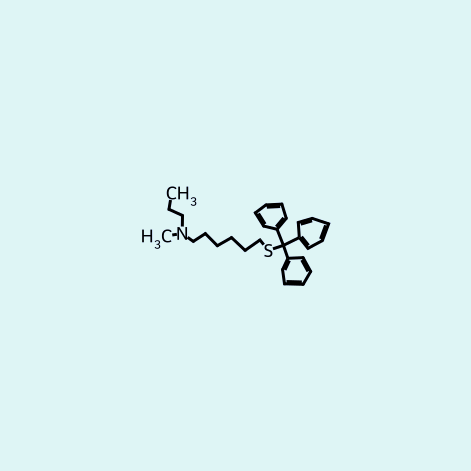 CCCN(C)CCCCCCSC(c1ccccc1)(c1ccccc1)c1ccccc1